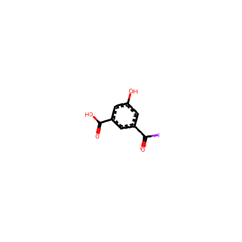 O=C(O)c1cc(O)cc(C(=O)I)c1